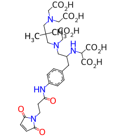 CC(C)(CN(CC(=O)O)CC(=O)O)CN(CC(=O)O)CC(Cc1ccc(NC(=O)CCN2C(=O)C=CC2=O)cc1)NC(C(=O)O)C(=O)O